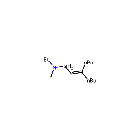 CCCCC(=C[SiH2]N(C)CC)CCCC